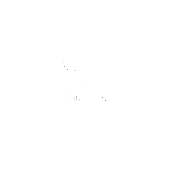 CCCON1C(C)(C)CC2(CC1(C)C)NC(=O)C1(CC(C)(C)N(OC)C(C)(C)C1)O2